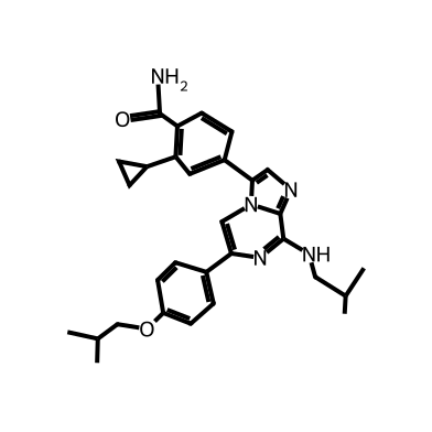 CC(C)CNc1nc(-c2ccc(OCC(C)C)cc2)cn2c(-c3ccc(C(N)=O)c(C4CC4)c3)cnc12